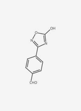 O=Cc1ccc(-c2noc(O)n2)cc1